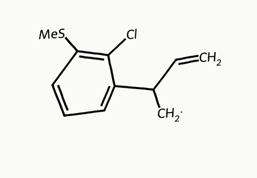 [CH2]C(C=C)c1cccc(SC)c1Cl